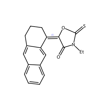 CCN1C(=O)/C(=C2/CCCc3cc4ccccc4cc32)OC1=S